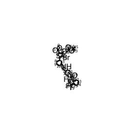 COC(=O)c1sc(-c2cccc(NCC3CCN(C(=O)Nc4ccccc4C(F)(F)F)CC3)c2)c(Br)c1OCC(=O)OC(C)(C)C